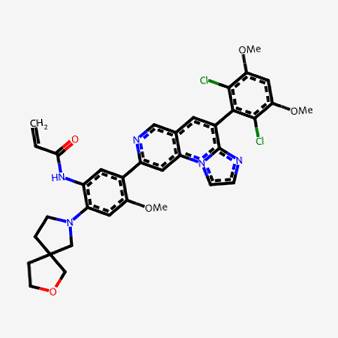 C=CC(=O)Nc1cc(-c2cc3c(cn2)cc(-c2c(Cl)c(OC)cc(OC)c2Cl)c2nccn23)c(OC)cc1N1CCC2(CCOC2)C1